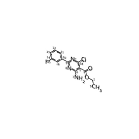 CCOC(=O)c1c(N)nc(-c2cccc(F)c2)nc1Cl